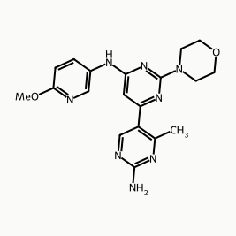 COc1ccc(Nc2cc(-c3cnc(N)nc3C)nc(N3CCOCC3)n2)cn1